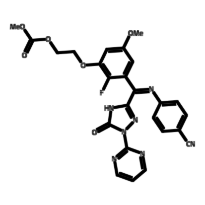 COC(=O)OCCOc1cc(OC)cc(C(=Nc2ccc(C#N)cc2)c2nn(-c3ncccn3)c(=O)[nH]2)c1F